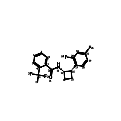 CC(F)(F)c1cccnc1C(=O)N[C@H]1CC[C@H]1c1ccc(F)cc1F